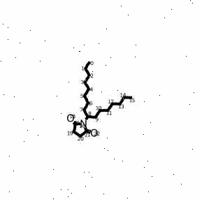 CCCCCCCCC(CCCCCCC)N1C(=O)CCC1=O